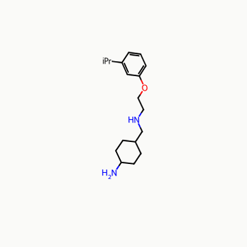 CC(C)c1cccc(OCCNCC2CCC(N)CC2)c1